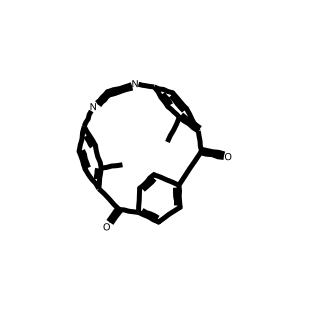 Cc1cc2ccc1C(=O)c1ccc(cc1)C(=O)c1ccc(cc1C)N=C=N2